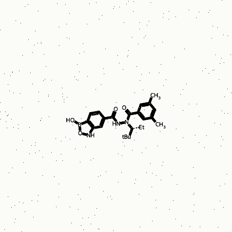 CC[C@@H](N(NC(=O)c1ccc2c(c1)NOB2O)C(=O)c1cc(C)cc(C)c1)C(C)(C)C